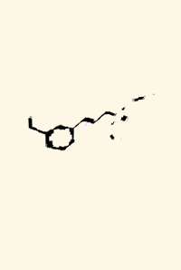 CC(C)OP(=O)(C/C=C/c1cccc(CCl)c1)OC(C)C